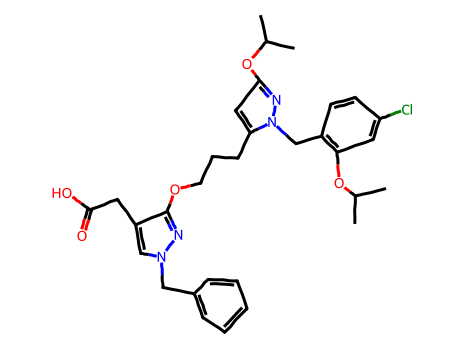 CC(C)Oc1cc(CCCOc2nn(Cc3ccccc3)cc2CC(=O)O)n(Cc2ccc(Cl)cc2OC(C)C)n1